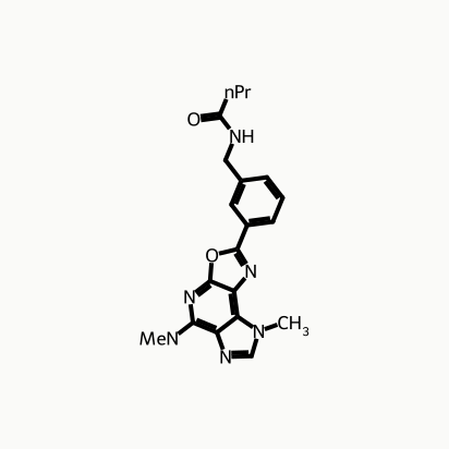 CCCC(=O)NCc1cccc(-c2nc3c(nc(NC)c4ncn(C)c43)o2)c1